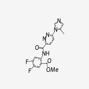 COC(=O)c1cc(F)c(F)cc1NC(=O)c1ccc(-n2cncc2C)nn1